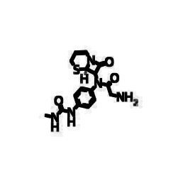 CNC(=O)Nc1ccc(N(C(=O)CN)C2C(=O)N3C=CCS[C@H]23)cc1